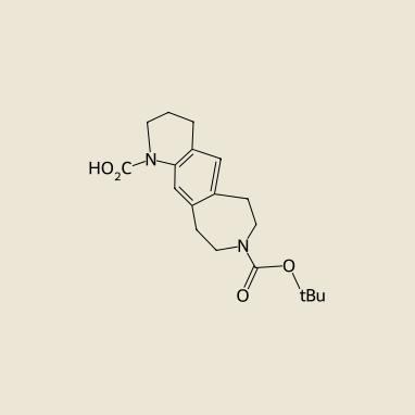 CC(C)(C)OC(=O)N1CCc2cc3c(cc2CC1)N(C(=O)O)CCC3